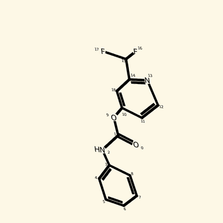 O=C(Nc1ccccc1)Oc1ccnc(C(F)F)c1